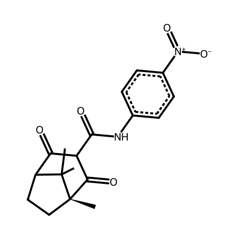 CC1(C)C2CC[C@@]1(C)C(=O)C(C(=O)Nc1ccc([N+](=O)[O-])cc1)C2=O